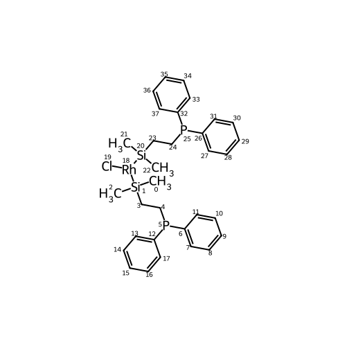 C[Si](C)(CCP(c1ccccc1)c1ccccc1)[Rh]([Cl])[Si](C)(C)CCP(c1ccccc1)c1ccccc1